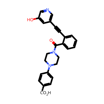 O=C(O)c1ccc(N2CCN(C(=O)c3ccccc3C#Cc3cncc(O)c3)CC2)cc1